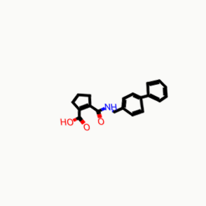 O=C(O)C1=C(C(=O)NCc2ccc(-c3ccccc3)cc2)CCC1